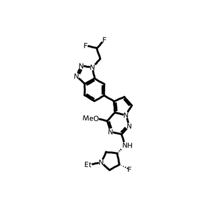 CCN1C[C@@H](F)[C@@H](Nc2nc(OC)c3c(-c4ccc5nnn(CC(F)F)c5c4)ccn3n2)C1